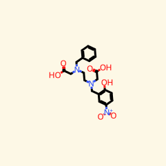 O=C(O)CN(CCN(CC(=O)O)Cc1cc([N+](=O)[O-])ccc1O)Cc1ccccc1